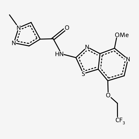 COc1ncc(OCC(F)(F)F)c2sc(NC(=O)c3cnn(C)c3)nc12